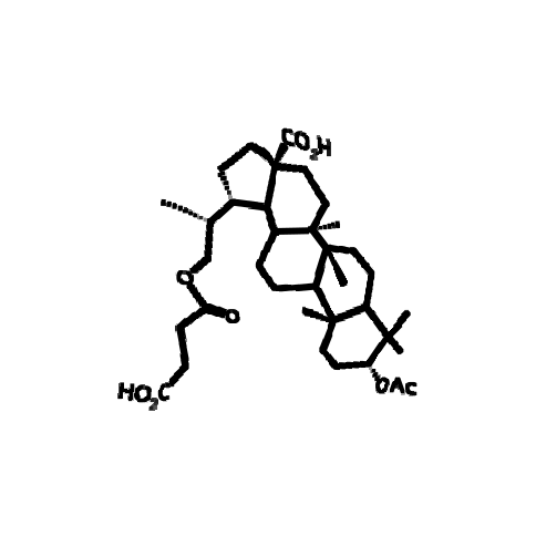 CC(=O)O[C@@H]1CC[C@@]2(C)C(CC[C@]3(C)C2CCC2C4[C@H]([C@@H](C)COC(=O)CCC(=O)O)CC[C@]4(C(=O)O)CC[C@]23C)C1(C)C